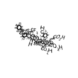 Cc1ccccc1C[C@H](NC(=O)[C@H](CCC(=O)O)NC(=O)[C@H](CC(=O)O)NC(=O)CCC(=O)O)C(=O)N[C@H](C(=O)N[C@@H](Cc1ccc(OCc2ccccc2)cc1)C(=O)NC(C=O)CC(F)(F)F)C(C)(C)C